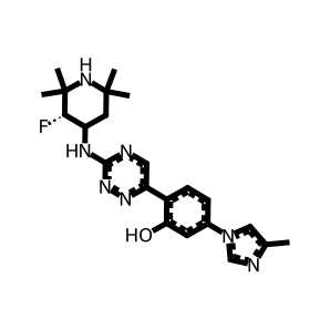 Cc1cn(-c2ccc(-c3cnc(NC4CC(C)(C)NC(C)(C)[C@H]4F)nn3)c(O)c2)cn1